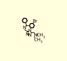 CCN(C)Cc1nnc2n1-c1ccc(Br)cc1C(c1ccccc1)=NC2